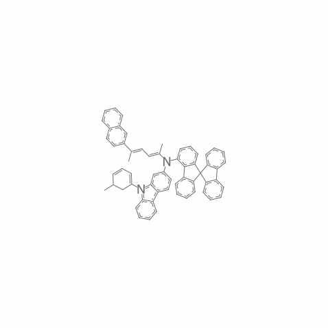 C/C(=C\C=C(/C)N(c1ccc2c3ccccc3n(C3=CC=CC(C)C3)c2c1)c1cccc2c1-c1ccccc1C21c2ccccc2-c2ccccc21)c1ccc2ccccc2c1